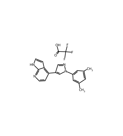 Cc1cc(C)cc(-n2cc(-c3ccnc4[nH]ccc34)cn2)c1.O=C(O)C(F)(F)F